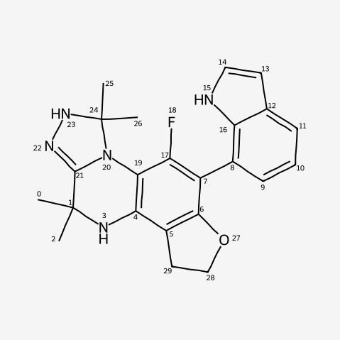 CC1(C)Nc2c3c(c(-c4cccc5cc[nH]c45)c(F)c2N2C1=NNC2(C)C)OCC3